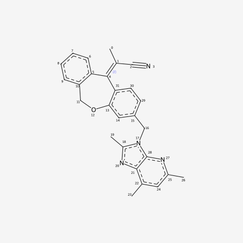 C/C(C#N)=C1\c2ccccc2COc2cc(Cn3c(C)nc4c(C)cc(C)nc43)ccc21